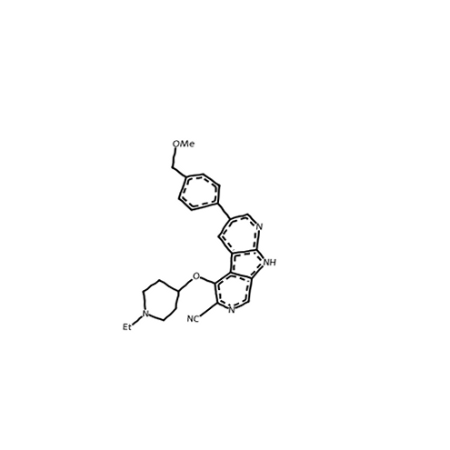 CCN1CCC(Oc2c(C#N)ncc3[nH]c4ncc(-c5ccc(COC)cc5)cc4c23)CC1